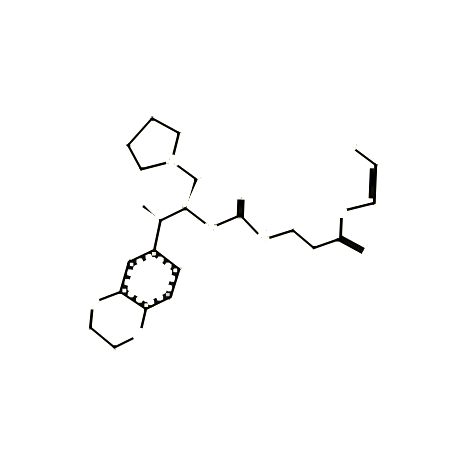 C=C(CCNC(=O)N[C@H](CN1CCCC1)[C@H](O)c1ccc2c(c1)OCCO2)S/C=C\C